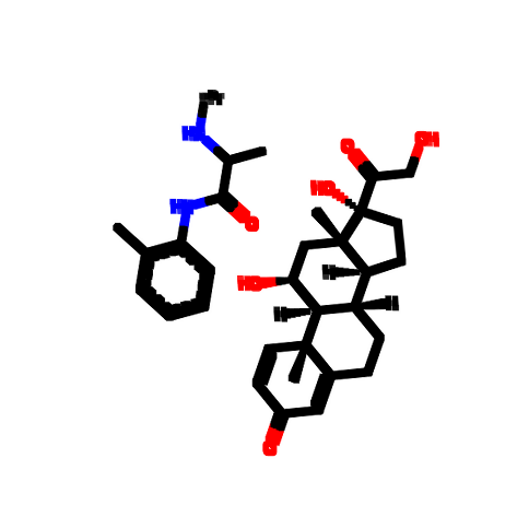 CCCNC(C)C(=O)Nc1ccccc1C.C[C@]12C=CC(=O)C=C1CC[C@@H]1[C@@H]2[C@@H](O)C[C@@]2(C)[C@H]1CC[C@]2(O)C(=O)CO